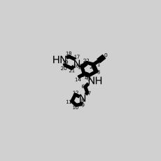 C#Cc1cc(NCCN2CCCC2)c(C)c(N2CCNCC2)c1